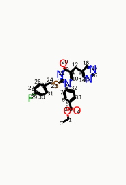 CCOC(=O)c1ccc(-n2cc(Cc3cncnc3)c(=O)nc2SCc2ccc(F)cc2)cc1